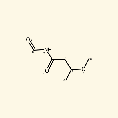 COC(C)CC(=O)NC=O